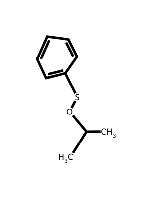 CC(C)OSc1ccccc1